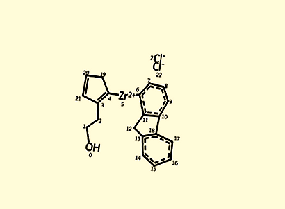 OCCC1=[C]([Zr+2][c]2cccc3c2Cc2ccccc2-3)CC=C1.[Cl-].[Cl-]